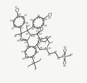 CCOc1cc(C(C)(C)C)ncc1C1=NC(C)(c2ccc(Cl)cc2)C(C)(c2ccc(Cl)cc2)N1C(=O)N1CCN(CCCS(C)(=O)=O)CC1